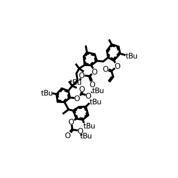 C=CC(=O)Oc1c(Cc2cc(C)cc(C(C)(C)CCC(C)(C)c3cc(C(C)(C)C)cc(C(C)c4cc(C(C)(C)C)cc(C(C)(C)C)c4OC(=O)OC(C)(C)C)c3OC(=O)OC(C)(C)C)c2OC(=O)OC(C)(C)C)cc(C)cc1C(C)(C)C